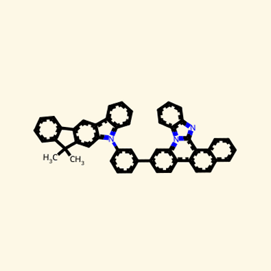 CC1(C)c2ccccc2-c2cc3c4ccccc4n(-c4cccc(-c5ccc6c7ccc8ccccc8c7c7nc8ccccc8n7c6c5)c4)c3cc21